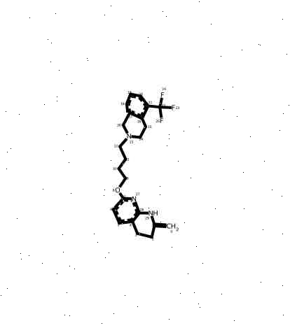 C=C1CCc2ccc(OCCCCN3CCc4c(cccc4C(F)(F)F)C3)nc2N1